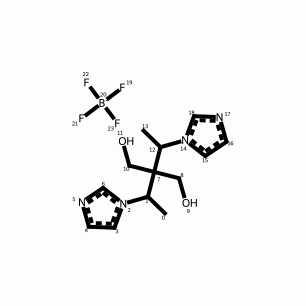 CC(n1ccnc1)C(CO)(CO)C(C)n1ccnc1.F[B-](F)(F)F